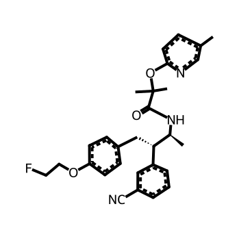 Cc1ccc(OC(C)(C)C(=O)N[C@@H](C)[C@@H](Cc2ccc(OCCF)cc2)c2cccc(C#N)c2)nc1